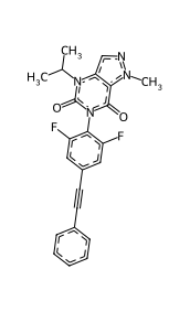 CC(C)n1c(=O)n(-c2c(F)cc(C#Cc3ccccc3)cc2F)c(=O)c2c1cnn2C